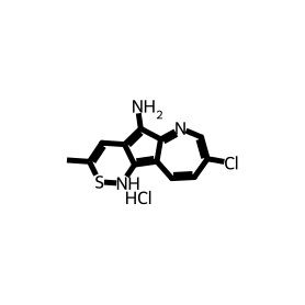 CC1=Cc2c(N)c3ncc(Cl)ccc-3c2NS1.Cl